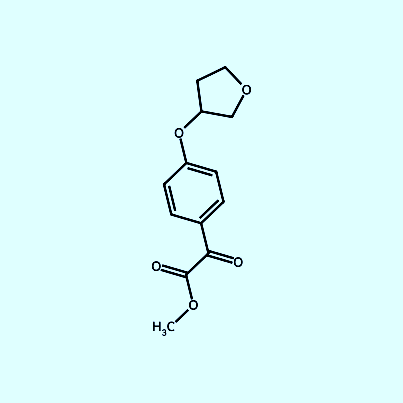 COC(=O)C(=O)c1ccc(OC2CCOC2)cc1